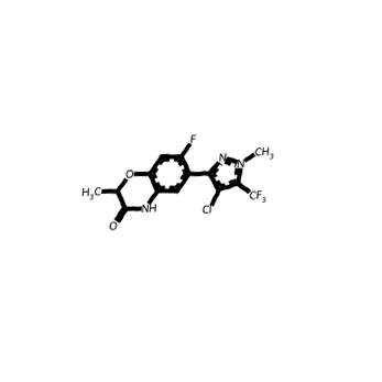 CC1Oc2cc(F)c(-c3nn(C)c(C(F)(F)F)c3Cl)cc2NC1=O